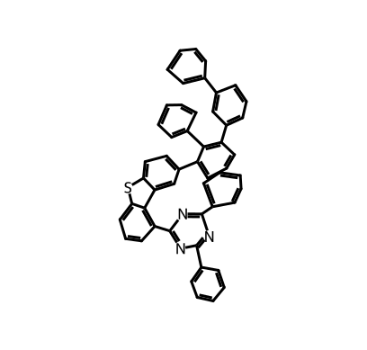 c1ccc(-c2cccc(-c3cccc(-c4ccc5sc6cccc(-c7nc(-c8ccccc8)nc(-c8ccccc8)n7)c6c5c4)c3-c3ccccc3)c2)cc1